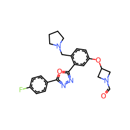 O=CN1CC(Oc2ccc(CN3CCCC3)c(-c3nnc(-c4ccc(F)cc4)o3)c2)C1